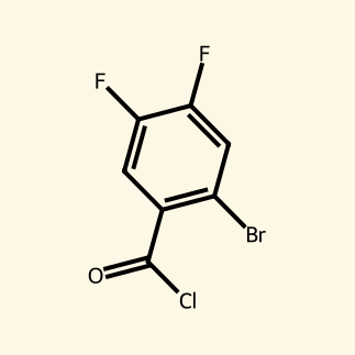 O=C(Cl)c1cc(F)c(F)cc1Br